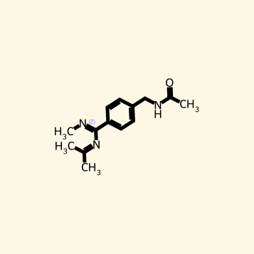 C/N=C(\N=C(C)C)c1ccc(CNC(C)=O)cc1